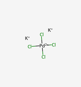 [Cl][Pd-2]([Cl])([Cl])[Cl].[K+].[K+]